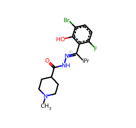 CC(C)/C(=N\NC(=O)C1CCN(C)CC1)c1c(F)ccc(Br)c1O